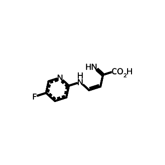 N=C(/C=C\Nc1ccc(F)cn1)C(=O)O